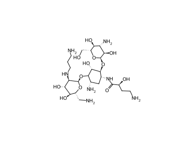 NCCCN[C@H]1[C@@H](OC2[C@@H](N)C[C@@H](NC(=O)[C@@H](O)CCN)[C@H](O[C@H]3O[C@H](CO)[C@@H](O)[C@H](N)[C@H]3O)[C@H]2O)O[C@H](CN)[C@@H](O)[C@@H]1O